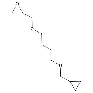 C(CCOCC1CO1)COCC1CC1